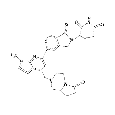 Cn1ccc2c(CN3CCN4C(=O)CCC4C3)cc(-c3ccc4c(c3)CN(C3CCC(=O)NC3=O)C4=O)nc21